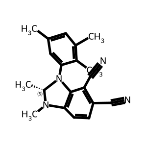 Cc1cc(C)c(C)c(N2c3c(ccc(C#N)c3C#N)N(C)[C@@H]2C)c1